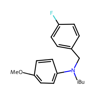 CCC(C)N(Cc1ccc(F)cc1)c1ccc(OC)cc1